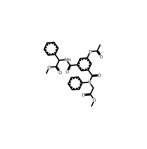 COC(=O)CN(C(=O)c1cc(OC(C)=O)cc(C(=O)NC(C(=O)OC)c2ccccc2)c1)c1ccccc1